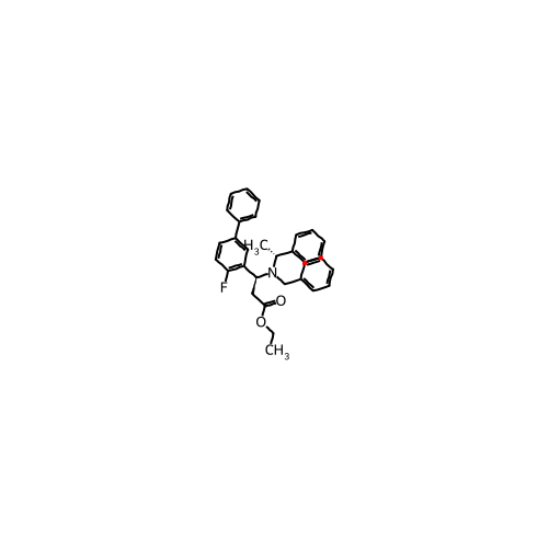 CCOC(=O)C[C@@H](c1cc(-c2ccccc2)ccc1F)N(Cc1ccccc1)[C@H](C)c1ccccc1